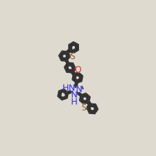 CN1C(c2ccc3c(c2)sc2ccccc23)NC(C2=CC=CCC2)NC1c1ccc2oc3cc(-c4cccc5c4sc4ccccc45)ccc3c2c1